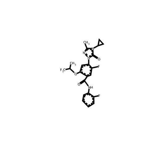 Cc1nn(-c2cc(OC(C)C(F)(F)F)c(C(=O)Nc3ccccc3F)cc2F)c(=O)n1C1CC1